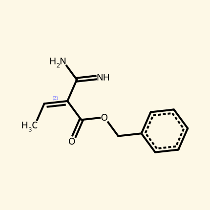 C/C=C(/C(=N)N)C(=O)OCc1ccccc1